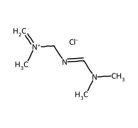 C=[N+](C)CN=CN(C)C.[Cl-]